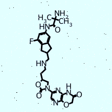 CC(C)(N)C(=O)Nc1cc(F)c2c(c1)CC(CNCCC1CN(c3cnc4c(n3)NC(=O)CO4)C(=O)O1)C2